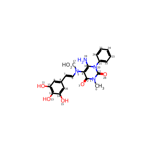 Cn1c(=O)c(N(C=Cc2cc(O)c(O)c(O)c2)C(=O)O)c(N)n(-c2ccccc2)c1=O